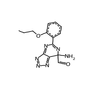 CCCOc1ccccc1C1=NC(N)(C=O)C2=NN=NC2=N1